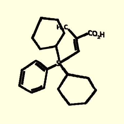 CC(=C[Si](c1ccccc1)(C1CCCCC1)C1CCCCC1)C(=O)O